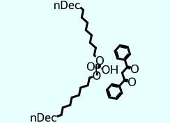 CCCCCCCCCCCCCCCCCCOP(=O)(O)OCCCCCCCCCCCCCCCCCC.O=C(CC(=O)c1ccccc1)c1ccccc1